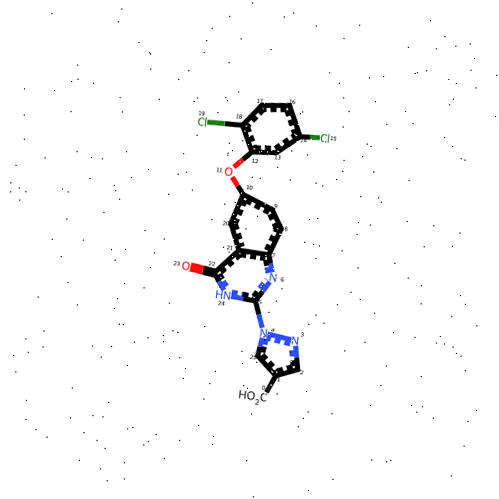 O=C(O)c1cnn(-c2nc3ccc(Oc4cc(Cl)ccc4Cl)cc3c(=O)[nH]2)c1